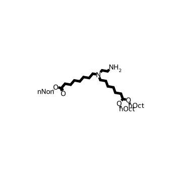 CCCCCCCCCOC(=O)CCCCCCCN(CCN)CCCCCCC(OCCCCCCCC)OCCCCCCCC